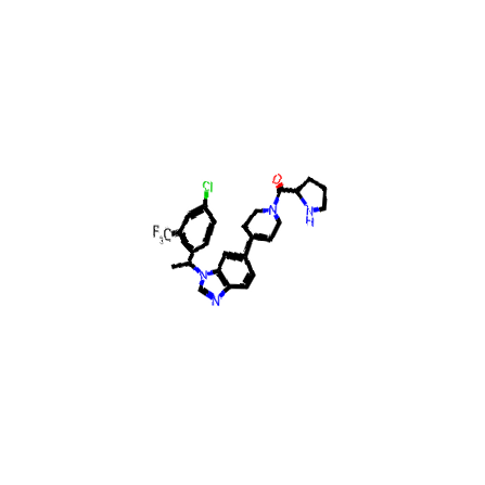 CC(c1ccc(Cl)cc1C(F)(F)F)n1cnc2ccc(C3=CCN(C(=O)C4CCCN4)CC3)cc21